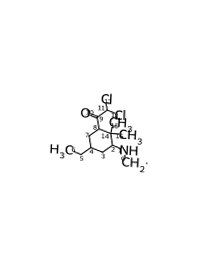 [CH2]NC1CC(CC)CC(C(=O)C(Cl)Cl)C1(C)C